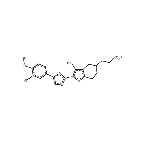 Cc1c2c(nn1-c1nnc(-c3ccc(OC(C)C)c(Cl)c3)s1)CCN(CCC(=O)O)C2